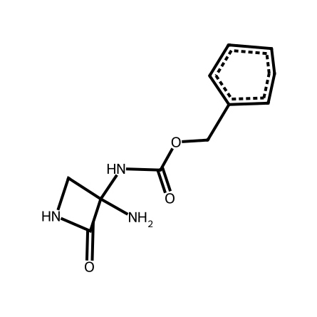 NC1(NC(=O)OCc2ccccc2)CNC1=O